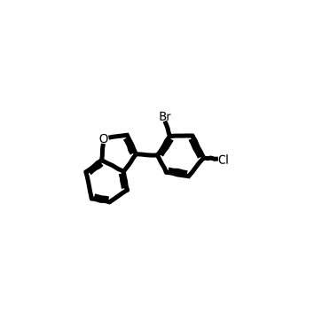 Clc1ccc(-c2coc3ccccc23)c(Br)c1